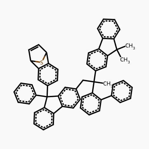 CC1(C)c2ccccc2-c2ccc(C(C)(Cc3ccc4c(c3)C(c3ccccc3)(c3ccc5c(c3)C3C=CC5S3)c3ccccc3-4)c3ccccc3-c3ccccc3)cc21